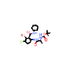 CC(NC(=O)OC(C)(C)C)C(=O)Nc1ccc(F)c(Br)c1C(=O)Nc1ccccc1